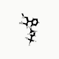 COC=C(C(=O)O)c1ccccc1Oc1ncc(C(F)(F)F)s1